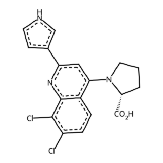 O=C(O)[C@H]1CCCN1c1cc(-c2cc[nH]c2)nc2c(Cl)c(Cl)ccc12